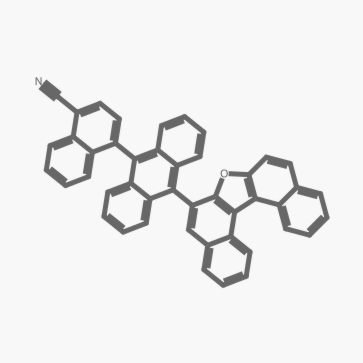 N#Cc1ccc(-c2c3ccccc3c(-c3cc4ccccc4c4c3oc3ccc5ccccc5c34)c3ccccc23)c2ccccc12